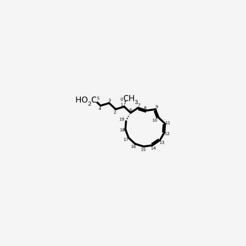 C[C@@H](CCCC(=O)O)[C@@H]1/C=C/C=C/C=C\C=C/CCCCC1